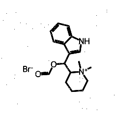 C[N+]1(C)CCCCC1C(OC=O)c1c[nH]c2ccccc12.[Br-]